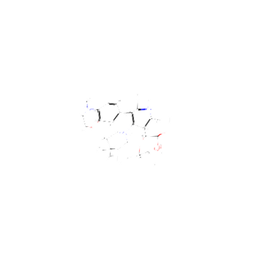 Cc1nc(C)c([C@H](OC(C)(C)C)C(=O)O)c(N2CCC(C)(C)CC2)c1-c1ccc2c(c1)OCCN2C